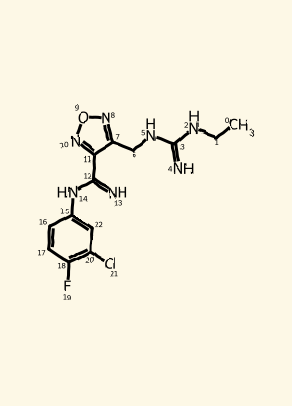 CCNC(=N)NCc1nonc1C(=N)Nc1ccc(F)c(Cl)c1